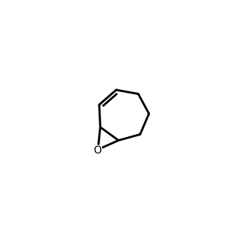 C1=CC2OC2CCC1